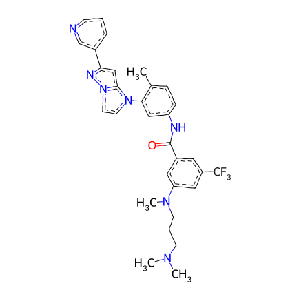 Cc1ccc(NC(=O)c2cc(N(C)CCCN(C)C)cc(C(F)(F)F)c2)cc1-n1ccn2nc(-c3cccnc3)cc12